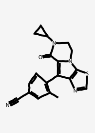 Cc1cc(C#N)ccc1-c1c2n(c3scnc13)CCN(C1CC1)C2=O